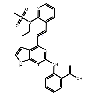 CCN(c1ncccc1/C=C/c1nc(Nc2ccccc2C(=O)O)nc2[nH]ccc12)S(C)(=O)=O